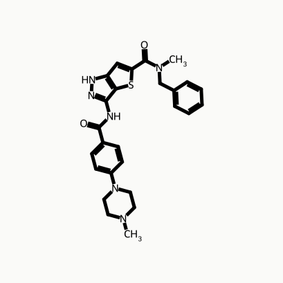 CN1CCN(c2ccc(C(=O)Nc3n[nH]c4cc(C(=O)N(C)Cc5ccccc5)sc34)cc2)CC1